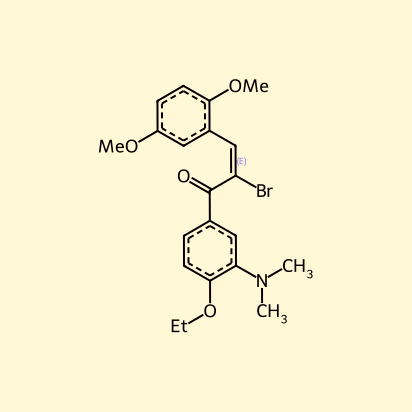 CCOc1ccc(C(=O)/C(Br)=C\c2cc(OC)ccc2OC)cc1N(C)C